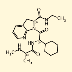 CCNC(=O)[C@@H]1Cc2cccnc2N1C(=O)[C@@H](NC(=O)[C@H](C)NC)C1CCCCC1